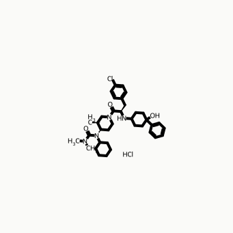 C[C@H]1CN(C(=O)[C@@H](Cc2ccc(Cl)cc2)NC2CCC(O)(c3ccccc3)CC2)CC[C@@H]1N(C(=O)N(C)C)C1CCCCC1.Cl